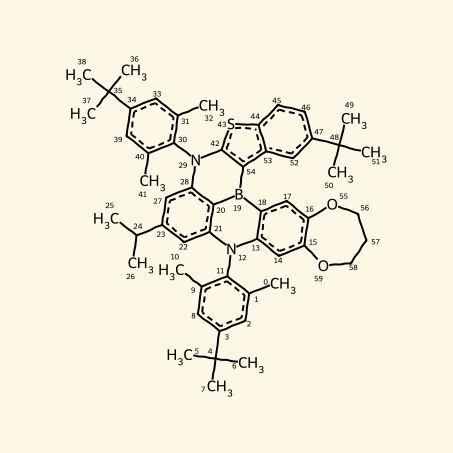 Cc1cc(C(C)(C)C)cc(C)c1N1c2cc3c(cc2B2c4c1cc(C(C)C)cc4N(c1c(C)cc(C(C)(C)C)cc1C)c1sc4ccc(C(C)(C)C)cc4c12)OCCCO3